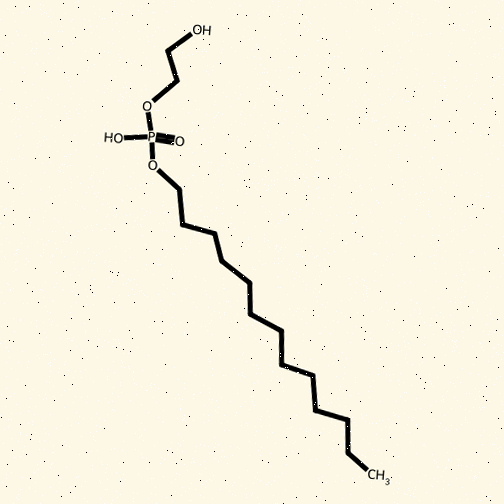 CCCCCCCCCCCCCOP(=O)(O)OCCO